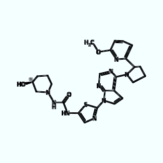 COc1cccc(C2CCCN2c2ncnc3c2ccn3-c2ncc(NC(=O)NN3CCC[C@H](O)C3)s2)n1